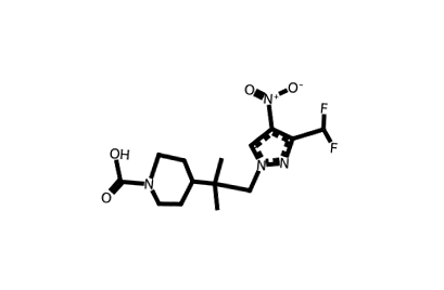 CC(C)(Cn1cc([N+](=O)[O-])c(C(F)F)n1)C1CCN(C(=O)O)CC1